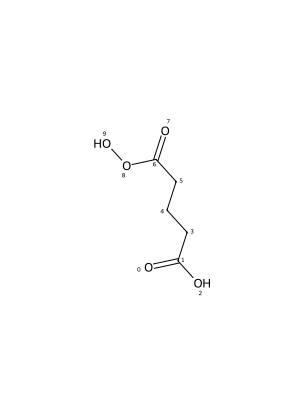 O=C(O)CCCC(=O)OO